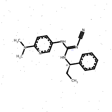 CC[C@@H](N/C(=N/C#N)Nc1ccc(N(C)C)nc1)c1ccccc1